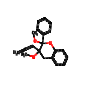 C=C=CC1(OC)Cc2ccccc2OC1(OC)c1ccccc1